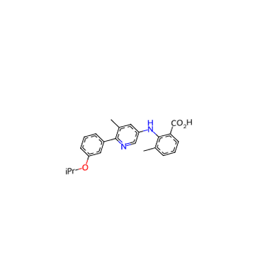 Cc1cc(Nc2c(C)cccc2C(=O)O)cnc1-c1cccc(OC(C)C)c1